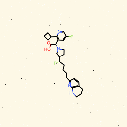 O=C(O)[C@H](c1cc(F)cnc1C1CCC1)N1CC[C@@H]([C@@H](F)CCCCc2ccc3c(n2)NCCC3)C1